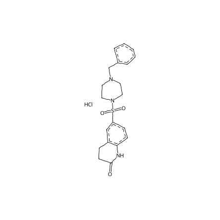 Cl.O=C1CCc2cc(S(=O)(=O)N3CCN(Cc4ccccc4)CC3)ccc2N1